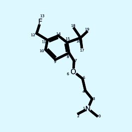 CN(C)CCCOCc1ccc(CF)cc1C(C)(C)C